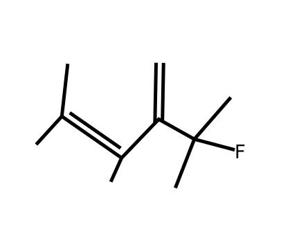 C=C(C(C)=C(C)C)C(C)(C)F